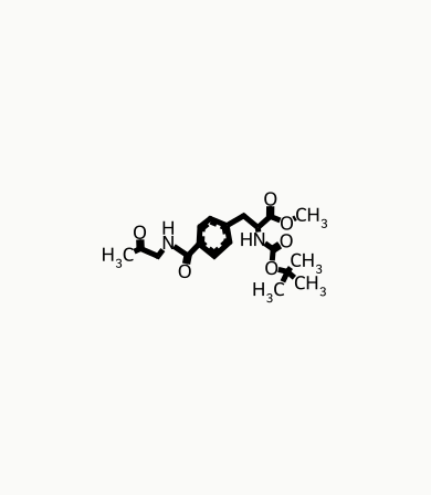 COC(=O)C(Cc1ccc(C(=O)NCC(C)=O)cc1)NC(=O)OC(C)(C)C